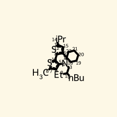 CCCCC(CC)CN1c2cc(C)sc2-c2sc(C(C)C)cc2C12CCCCC2